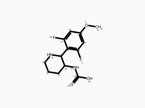 COc1cc(F)c(C2NCCCC2NC(=O)O)c(F)c1